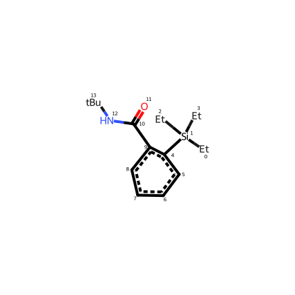 CC[Si](CC)(CC)c1ccccc1C(=O)NC(C)(C)C